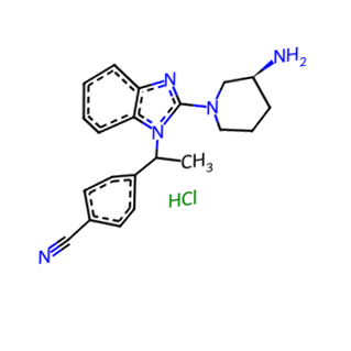 CC(c1ccc(C#N)cc1)n1c(N2CCC[C@H](N)C2)nc2ccccc21.Cl